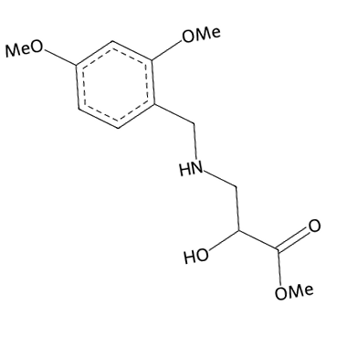 COC(=O)C(O)CNCc1ccc(OC)cc1OC